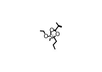 C=C(C)C(=O)OC(CCC)[Si](C)(C)OCC